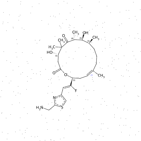 C/C1=C/C[C@@H](C(F)=Cc2csc(CN)n2)OC(=O)C[C@H](O)C(C)(C)C(=O)[C@H](C)[C@@H](O)[C@@H](C)CCC1